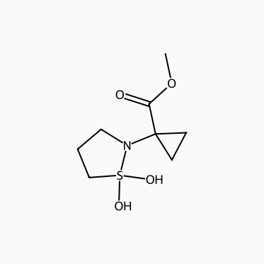 COC(=O)C1(N2CCCS2(O)O)CC1